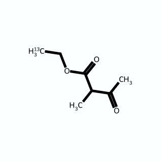 CC(=O)C(C)C(=O)OC[13CH3]